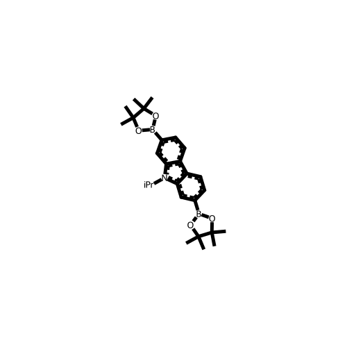 CC(C)n1c2cc(B3OC(C)(C)C(C)(C)O3)ccc2c2ccc(B3OC(C)(C)C(C)(C)O3)cc21